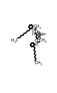 CCCCCCCCCc1ccccc1OC(CC)OC(=O)CC(C(=O)OC(CC)Oc1ccccc1CCCCCCCCC)S(=O)(=O)O